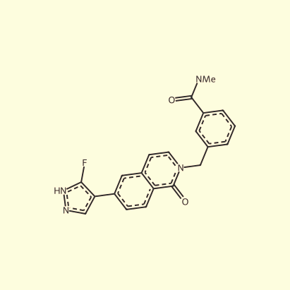 CNC(=O)c1cccc(Cn2ccc3cc(-c4cn[nH]c4F)ccc3c2=O)c1